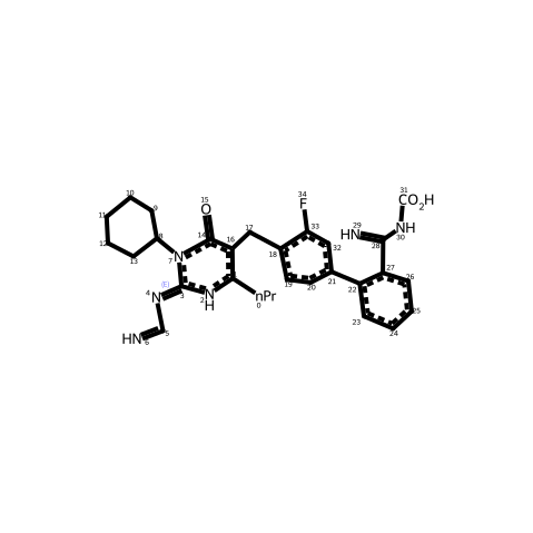 CCCc1[nH]/c(=N\C=N)n(C2CCCCC2)c(=O)c1Cc1ccc(-c2ccccc2C(=N)NC(=O)O)cc1F